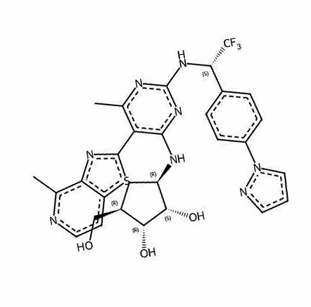 Cc1nc(N[C@@H](c2ccc(-n3cccn3)cc2)C(F)(F)F)nc(N[C@@H]2C[C@H](CO)[C@@H](O)[C@H]2O)c1-c1nc2c(C)nccc2s1